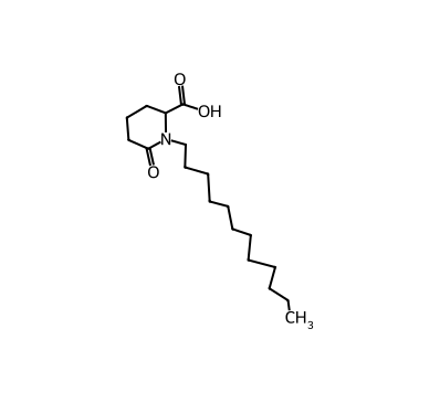 CCCCCCCCCCCCN1C(=O)CCCC1C(=O)O